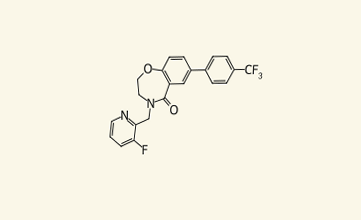 O=C1c2cc(-c3ccc(C(F)(F)F)cc3)ccc2OCCN1Cc1ncccc1F